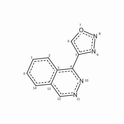 c1ccc2c(-c3conn3)nncc2c1